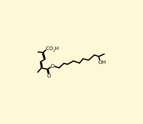 CC(=CC=C(C)C(=O)OCCCCCCCCC(C)O)C(=O)O